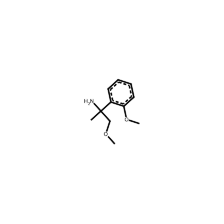 COCC(C)(N)c1ccccc1OC